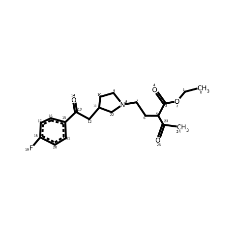 CCOC(=O)C(CCN1CCC(CC(=O)c2ccc(F)cc2)C1)C(C)=O